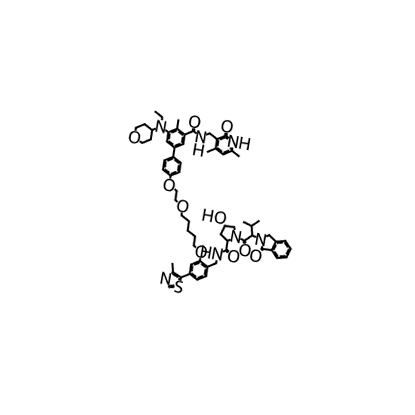 CCN(c1cc(-c2ccc(OCCOCCCCCOc3cc(-c4scnc4C)ccc3CNC(=O)C3C[C@@H](O)CN3C(=O)C(C(C)C)N3Cc4ccccc4C3=O)cc2)cc(C(=O)NCc2c(C)cc(C)[nH]c2=O)c1C)C1CCOCC1